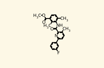 COC(=O)c1ccc(C)c(NC(=O)c2nc(-c3cccc(F)c3)ccc2C)c1C